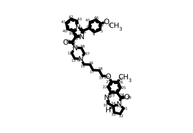 COc1ccc(-c2nc(C(=O)N3CCN(CCCCCOc4cc5c(cc4C)C(=O)N4CCC[C@H]4C=N5)CC3)c3ccccn23)cc1